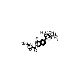 CC(C)(C)c1noc(C(=O)NCc2ccc(B3OC(C)(C)C(C)(C)O3)cc2C(F)F)n1